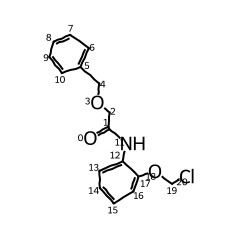 O=C(COCc1ccccc1)Nc1ccccc1OCCl